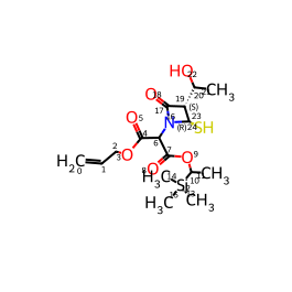 C=CCOC(=O)C(C(=O)OC(C)[Si](C)(C)C)N1C(=O)[C@H](C(C)O)[C@H]1S